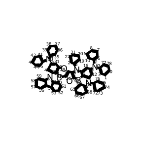 c1ccc(N(c2ccccc2)c2cc3c4c(c2)N(c2ccccc2)c2c(oc5c2Oc2cc(N(c6ccccc6)c6ccccc6)cc6c2B5c2cccc5c7ccccc7n-6c25)B4c2ccccc2N3c2ccccc2)cc1